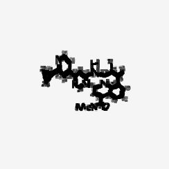 CNC(=O)c1ccnc2c(C(C)[C@H](C)CNc3cc(-c4ccnc(C5CC5)c4)ncn3)cccc12